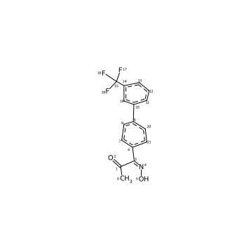 CC(=O)C(=NO)c1ccc(-c2cccc(C(F)(F)F)c2)cc1